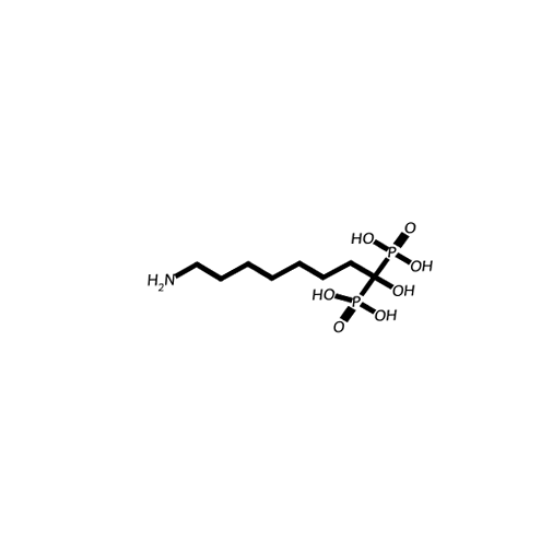 NCCCCCCCC(O)(P(=O)(O)O)P(=O)(O)O